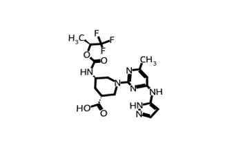 Cc1cc(Nc2ccn[nH]2)nc(N2C[C@@H](NC(=O)O[C@@H](C)C(F)(F)F)C[C@@H](C(=O)O)C2)n1